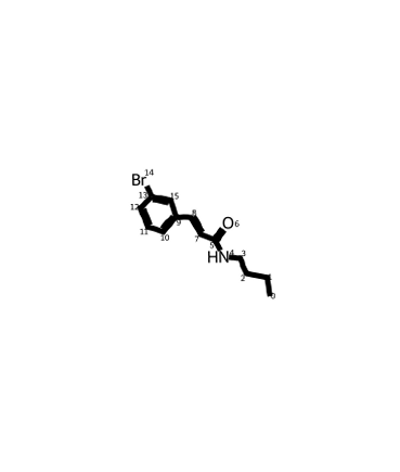 CCCCNC(=O)C=Cc1cccc(Br)c1